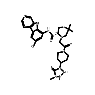 CN1NNN(C2CCN(C(=O)CN3CC(C)(C)OC[C@H]3C(=O)Nc3cc(Cl)cc4c3[nH]c3cnccc34)CC2)C1=O